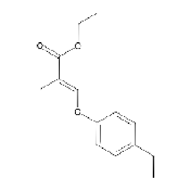 CCOC(=O)/C(C)=C/Oc1ccc(CC)cc1